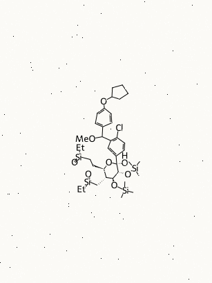 CC[Si](=O)CC[C@H]1O[C@@](O)(c2ccc(Cl)c(C(OC)c3ccc(OC4CCCC4)cc3)c2)[C@H](O[Si](C)(C)C)[C@@H](O[Si](C)(C)C)[C@@H]1C[Si](=O)CC